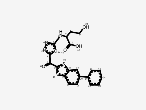 O=C(c1nnc(NC(CCO)C(=O)O)o1)c1nc2ccc(-c3ccccc3)cc2s1